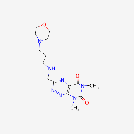 Cn1c(=O)c2nc(CNCCCN3CCOCC3)nnc2n(C)c1=O